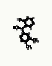 Cc1ccc(C(N)c2ncccc2F)cc1C